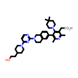 Cc1nc(C)c(-c2ccc3c(c2)CCN(c2nccc(N4CCC(CCO)CC4)n2)C3)c(N2CCC(C)(C)CC2)c1CC(=O)O